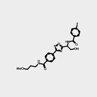 COCCCNC(=O)c1ccc(-c2noc(C(CO)NC(=O)c3ccc(F)cc3)n2)cc1